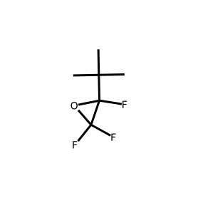 CC(C)(C)C1(F)OC1(F)F